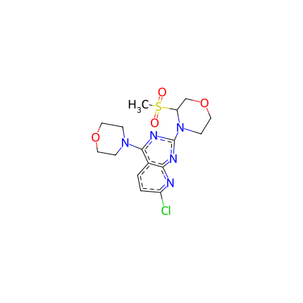 CS(=O)(=O)C1COCCN1c1nc(N2CCOCC2)c2ccc(Cl)nc2n1